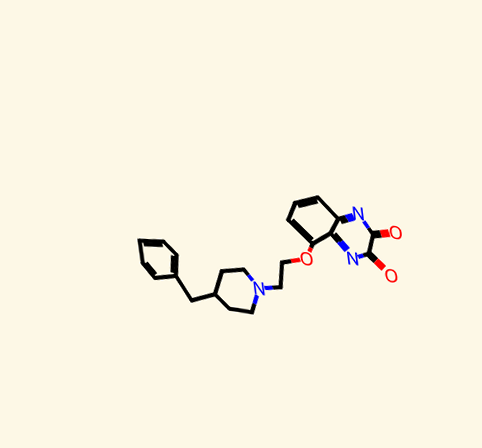 O=C1N=c2cccc(OCCN3CCC(Cc4ccccc4)CC3)c2=NC1=O